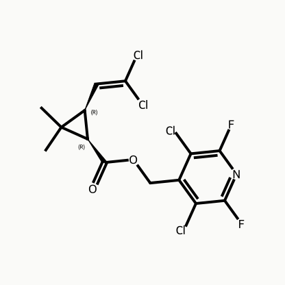 CC1(C)[C@H](C(=O)OCc2c(Cl)c(F)nc(F)c2Cl)[C@@H]1C=C(Cl)Cl